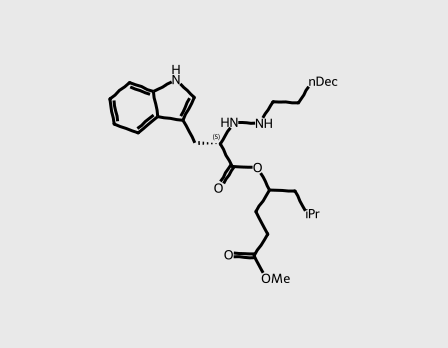 CCCCCCCCCCCCNN[C@@H](Cc1c[nH]c2ccccc12)C(=O)OC(CCC(=O)OC)CC(C)C